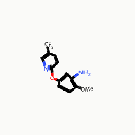 COc1ccc(Oc2ccc(C(F)(F)F)cn2)cc1N